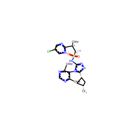 COc1ncnc(OC)c1-n1c(NS(=O)(=O)[C@@H](C)[C@H](OC)c2ncc(Cl)cn2)nnc1[C@H]1C[C@@H](C(F)(F)F)C1